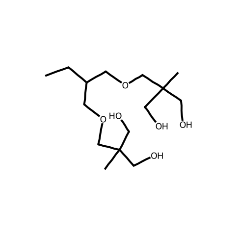 CCC(COCC(C)(CO)CO)COCC(C)(CO)CO